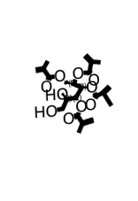 C=C(C)C(=O)OC[C@@H](OC(=O)C(=C)C)[C@@H](OC(=O)C(=C)C)[C@H](OC(=O)C(=C)C)[C@H](O)CO